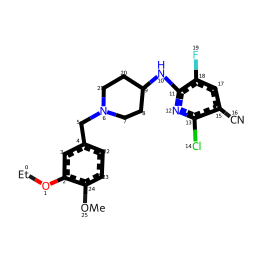 CCOc1cc(CN2CCC(Nc3nc(Cl)c(C#N)cc3F)CC2)ccc1OC